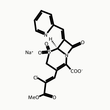 COC(=O)/C(Cl)=C/C1=C(C(=O)[O-])N2C(=O)/C(=C/c3ccccn3)[C@@H]2S(=O)(=O)C1.[Na+]